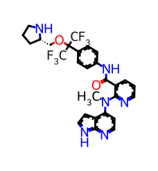 CN(c1ncccc1C(=O)Nc1ccc(C(OC[C@@H]2CCCN2)(C(F)(F)F)C(F)(F)F)cc1)c1ccnc2[nH]ccc12